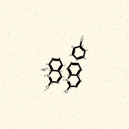 [Al+3].[O-]c1ccc2ccccc2n1.[O-]c1ccc2ccccc2n1.[O-]c1ccccc1